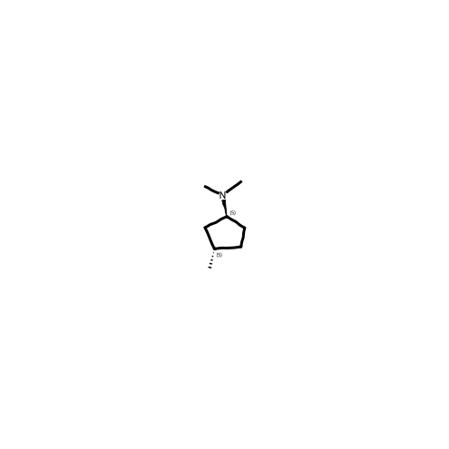 C[C@H]1CC[C@H](N(C)C)C1